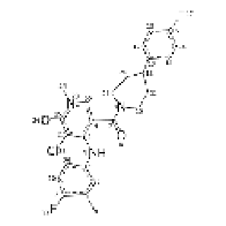 Cc1cc(Nc2c(C(=O)N3CCC(c4ccc(F)cc4)CC3)cn(C)c(=O)c2Cl)ccc1F